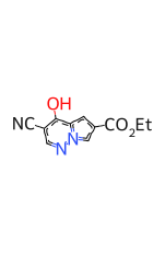 CCOC(=O)c1cc2c(O)c(C#N)cnn2c1